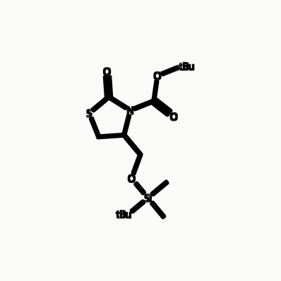 CC(C)(C)OC(=O)N1C(=O)SCC1CO[Si](C)(C)C(C)(C)C